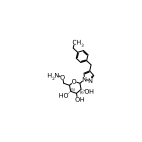 CCc1ccc(Cc2cnn(C3OC(CON)[C@@H](O)C(O)[C@H]3O)c2)cc1